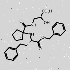 O=C(OCc1ccccc1)[C@H](CCc1ccccc1)NC1(C(=O)NC[C@H](O)C(=O)O)CCCC1